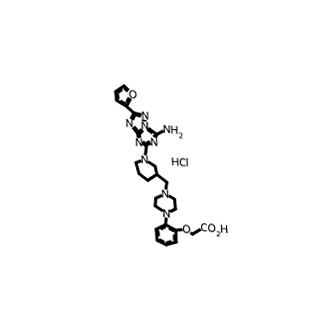 Cl.Nc1nc(N2CCCC(CN3CCN(c4ccccc4OCC(=O)O)CC3)C2)nc2nc(-c3ccco3)nn12